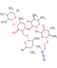 CCC1O[C@H](OCC2O[C@@H](O[C@@H]3C(CC)O[C@@H](O[C@@H]4C(CC)O[C@@H](OCCN=[N+]=[N-])C(C)[C@H]4C)C(C)[C@@H]3C)C(OC(C)=O)[C@@H](O[C@H]3O[C@@H](CC)[C@@H](C)C(C)C3OC(C)=O)[C@@H]2O)C(OC(C)=O)[C@H](C)[C@@H]1C